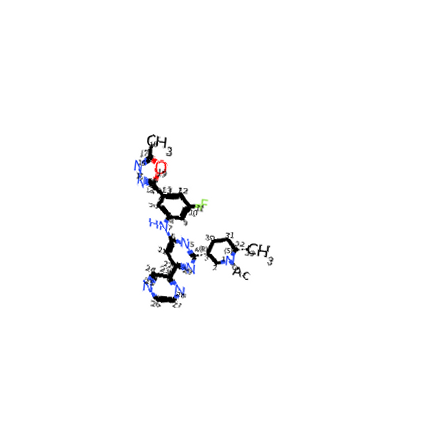 CC(=O)N1C[C@H](c2nc(Nc3cc(F)cc(-c4nnc(C)o4)c3)cc(-c3cnccn3)n2)CC[C@@H]1C